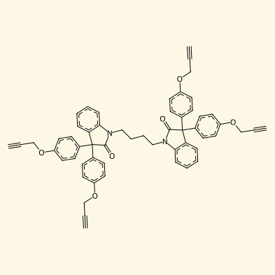 C#CCOc1ccc(C2(c3ccc(OCC#C)cc3)C(=O)N(CCCCN3C(=O)C(c4ccc(OCC#C)cc4)(c4ccc(OCC#C)cc4)c4ccccc43)c3ccccc32)cc1